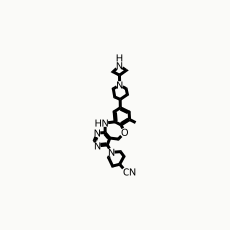 Cc1cc(C2CCN(C3CNC3)CC2)cc2c1OCc1c(ncnc1N1CCC(C#N)CC1)N2